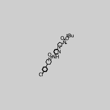 CN(C(=O)OC(C)(C)C)[C@@H]1CCN(c2ccc(NC(=O)N3CCC(c4ccc(Cl)cc4)CC3)cn2)C1